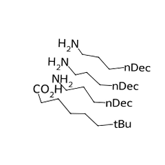 CC(C)(C)CCCCCC(=O)O.CCCCCCCCCCCCCN.CCCCCCCCCCCCCN.CCCCCCCCCCCCCN